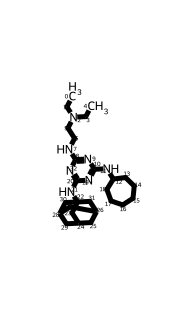 CCN(CC)CCNc1nc(NC2CCCCCC2)nc(NC23CC4CC(CC(C4)C2)C3)n1